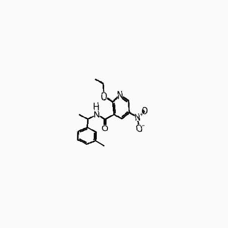 CCOc1ncc([N+](=O)[O-])cc1C(=O)NC(C)c1cccc(C)c1